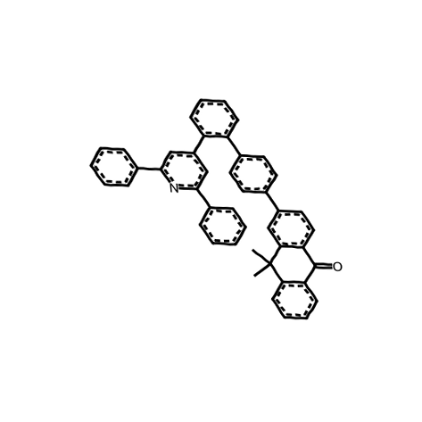 CC1(C)c2ccccc2C(=O)c2ccc(-c3ccc(-c4ccccc4-c4cc(-c5ccccc5)nc(-c5ccccc5)c4)cc3)cc21